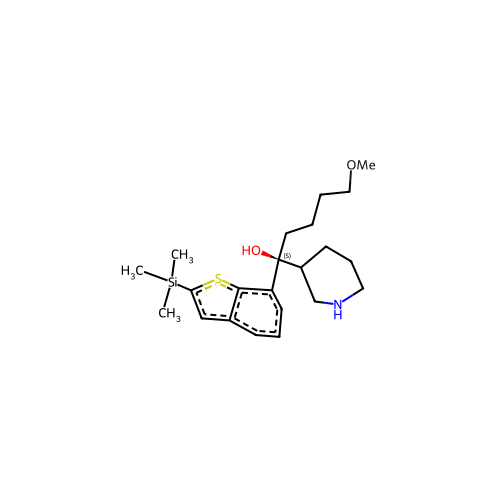 COCCCC[C@@](O)(c1cccc2cc([Si](C)(C)C)sc12)C1CCCNC1